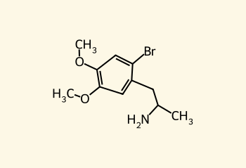 COc1cc(Br)c(CC(C)N)cc1OC